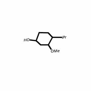 COC1CC(O)CCC1C(C)C